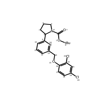 CC(C)(C)OC(=O)N1CCCC1c1cccc(COc2ccc(Cl)cc2Cl)n1